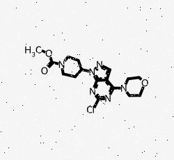 COC(=O)N1CCC(n2ncc3c(N4CCOCC4)nc(Cl)nc32)CC1